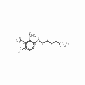 CCOC(=O)CCCCOc1ccc(C)c([N+](=O)[O-])c1C=O